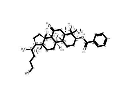 CC(C)CCC[C@@H](C)[C@H]1CC[C@@]23O[C@@]24C(=O)C[C@H]2C(C)(C)[C@@H](OC(=O)c5ccccc5)CC[C@]2(C)[C@H]4CC[C@]13C